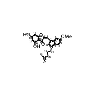 COc1ccc2c(c1)c(C=C1Oc3cc(O)cc(O)c3C1=O)cn2CCCN(C)C